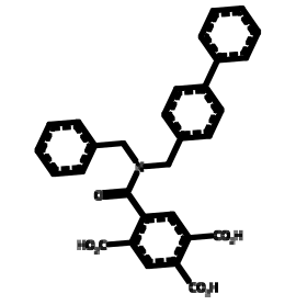 O=C(O)c1cc(C(=O)O)c(C(=O)N(Cc2ccccc2)Cc2ccc(-c3ccccc3)cc2)cc1C(=O)O